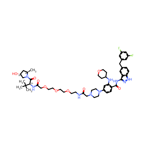 C[C@@H]1C[C@@H](O)CN1C(=O)[C@@H](NC(=O)COCCOCCOCCNC(=O)CN1CCN(c2ccc(C(=O)Nc3n[nH]c4ccc(Cc5cc(F)cc(F)c5)cc34)c(NC3CCOCC3)c2)CC1)C(C)(C)C